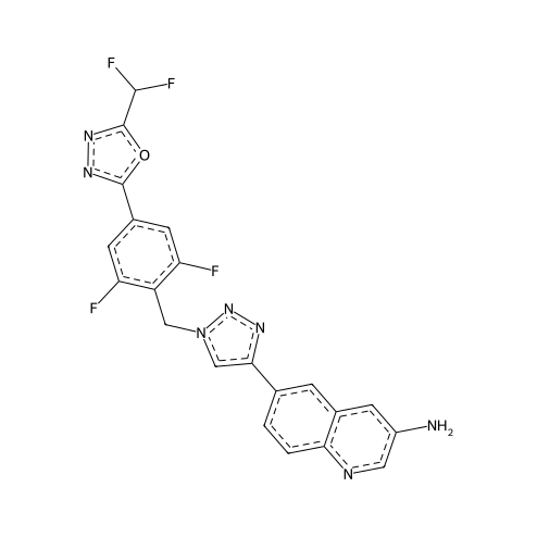 Nc1cnc2ccc(-c3cn(Cc4c(F)cc(-c5nnc(C(F)F)o5)cc4F)nn3)cc2c1